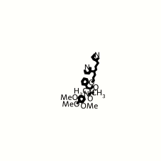 COc1cc(N(C)C(=O)N(C)C(Cc2ccccc2)C(=O)OCCCC(CCCc2cccnc2)c2cccnc2)cc(OC)c1OC